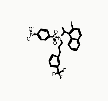 CC(c1c(I)ccc2ccccc12)N(CCCc1cccc(C(F)(F)F)c1)S(=O)(=O)c1ccc([N+](=O)[O-])cc1